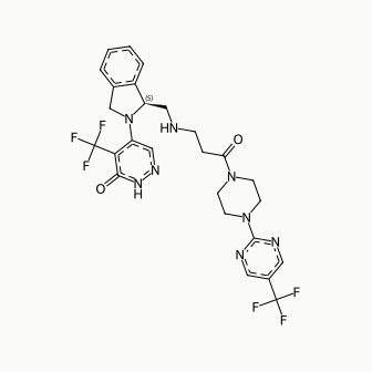 O=C(CCNC[C@@H]1c2ccccc2CN1c1cn[nH]c(=O)c1C(F)(F)F)N1CCN(c2ncc(C(F)(F)F)cn2)CC1